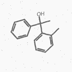 Cc1ccccc1C(C)(O)c1ccccc1